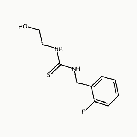 OCCNC(=S)NCc1ccccc1F